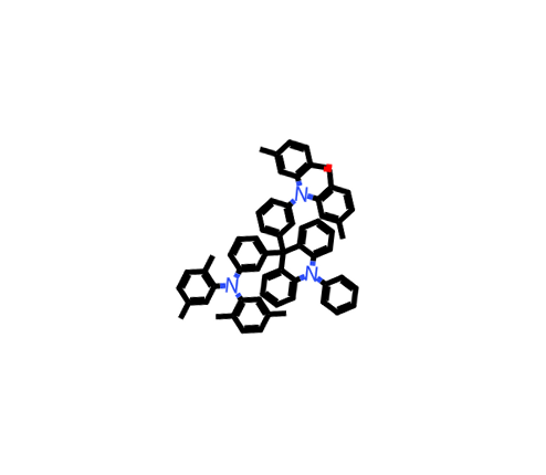 Cc1ccc(C)c(N(c2cccc(C3(c4cccc(N(c5cc(C)ccc5C)c5cc(C)ccc5C)c4)c4ccccc4N(c4ccccc4)c4ccccc43)c2)c2cc(C)ccc2C)c1